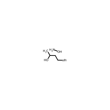 CCCCCC(C)O.NO